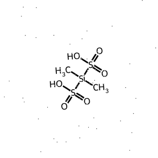 C[Si](C)(S(=O)(=O)O)S(=O)(=O)O